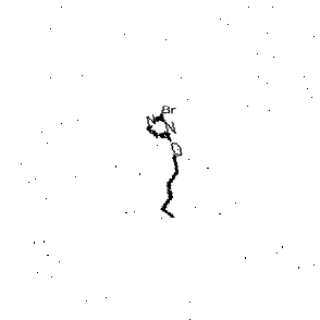 CCCCCCOc1ccnc(Br)n1